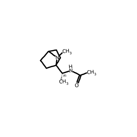 CC(=O)N[C@H](C)C12CCC(CC1)N2C